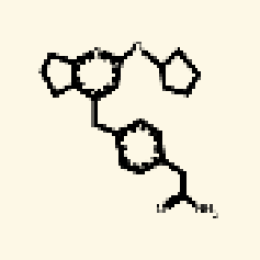 NC(=O)Cc1ccc(Cc2cc(OC3CCCC3)nc3c2CCC3)cc1